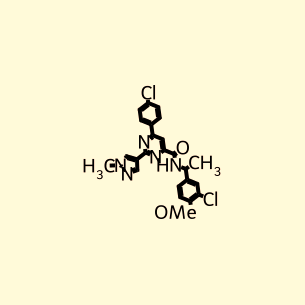 COc1ccc(C(C)NC(=O)c2cc(-c3ccc(Cl)cc3)nc(-c3cnn(C)c3)n2)cc1Cl